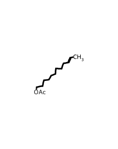 CC=CCCCCCCCCCOC(C)=O